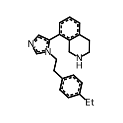 CCc1ccc(CCn2cncc2-c2cccc3c2CNCC3)cc1